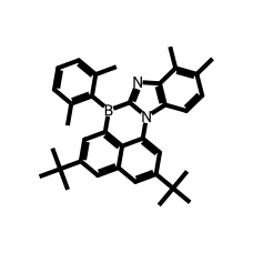 Cc1cccc(C)c1B1c2cc(C(C)(C)C)cc3cc(C(C)(C)C)cc(c23)-n2c1nc1c(C)c(C)ccc12